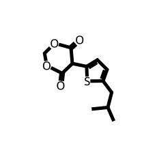 CC(C)Cc1ccc(C2C(=O)OCOC2=O)s1